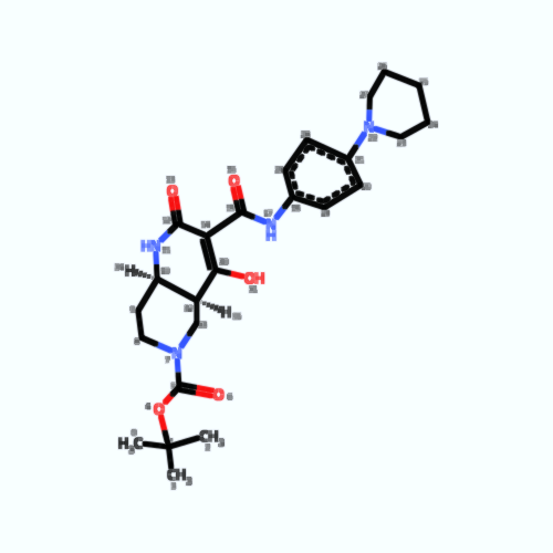 CC(C)(C)OC(=O)N1CC[C@H]2NC(=O)C(C(=O)Nc3ccc(N4CCCCC4)cc3)=C(O)[C@H]2C1